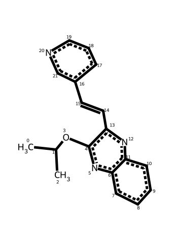 CC(C)Oc1nc2ccccc2nc1/C=C/c1cccnc1